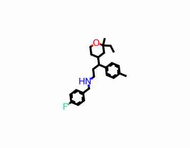 CCC1(C)CC(C(CCNCc2ccc(F)cc2)c2ccc(C)cc2)CCO1